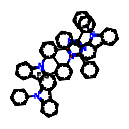 FC(F)(F)c1cccc(-n2c3ccccc3c3c2ccc2c4ccccc4n(-c4ccccc4)c23)c1-c1c(-c2nc(-c3ccccc3)nc(-c3ccccc3)n2)cccc1-n1c2ccccc2c2c1ccc1c3ccccc3n(-c3ccccc3)c12